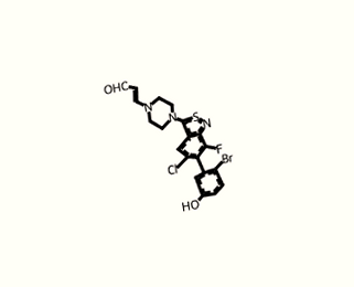 O=CC=CN1CCN(c2snc3c(F)c(-c4cc(O)ccc4Br)c(Cl)cc23)CC1